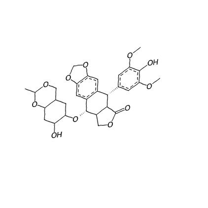 COc1cc([C@H]2c3cc4c(cc3[C@@H](OC3CC5COC(C)OC5CC3O)C3COC(=O)C32)OCO4)cc(OC)c1O